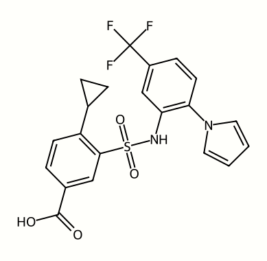 O=C(O)c1ccc(C2CC2)c(S(=O)(=O)Nc2cc(C(F)(F)F)ccc2-n2cccc2)c1